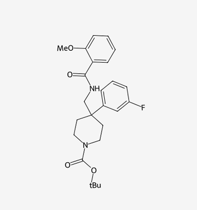 COc1ccccc1C(=O)NCC1(c2cccc(F)c2)CCN(C(=O)OC(C)(C)C)CC1